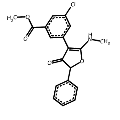 CNC1=C(c2cc(Cl)cc(C(=O)OC)c2)C(=O)C(c2ccccc2)O1